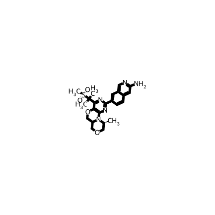 C[C@@H]1COCC2COc3c(nc(-c4ccc5cc(N)ncc5c4)nc3C(C)(C)S(C)(=O)=O)N21